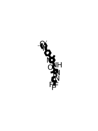 Cc1cc(NC(=O)c2cnn(-c3ccc(C(F)(F)F)cn3)c2C)cnc1C1=CCC(N2C[C@@H](C)O[C@@H](C)C2)CC1